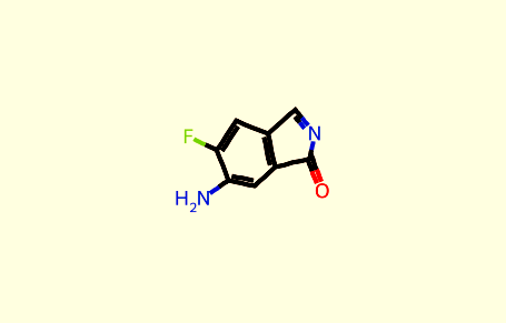 Nc1cc2c(cc1F)C=NC2=O